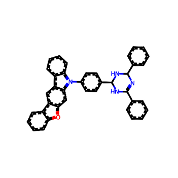 c1ccc(C2=NC(c3ccccc3)NC(c3ccc(-n4c5ccccc5c5cc6c(cc54)oc4ccccc46)cc3)N2)cc1